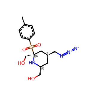 Cc1ccc(S(=O)(=O)[C@@]2(CO)C[C@@H](CN=[N+]=[N-])C[C@@H](CO)N2)cc1